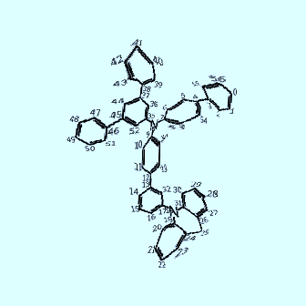 c1ccc(-c2ccc(N(c3ccc(-c4cccc(N5c6ccccc6Cc6ccccc65)c4)cc3)c3cc(-c4ccccc4)cc(-c4ccccc4)c3)cc2)cc1